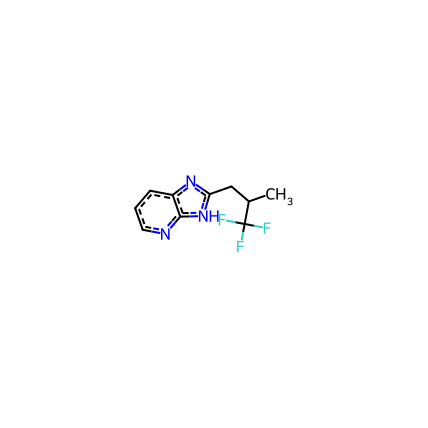 CC(Cc1nc2cccnc2[nH]1)C(F)(F)F